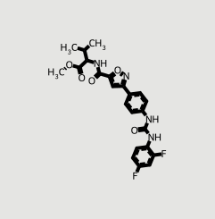 COC(=O)C(NC(=O)c1cc(-c2ccc(NC(=O)Nc3ccc(F)cc3F)cc2)no1)C(C)C